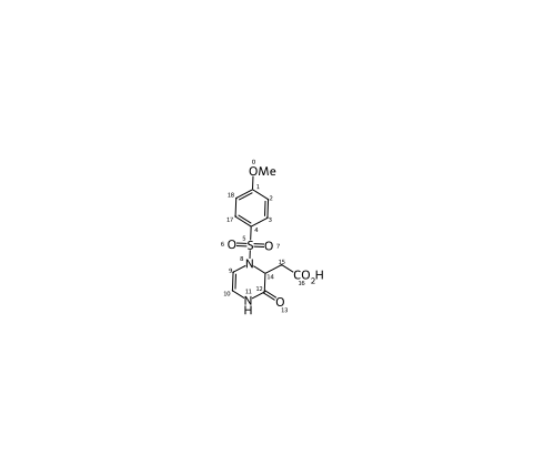 COc1ccc(S(=O)(=O)N2C=CNC(=O)C2CC(=O)O)cc1